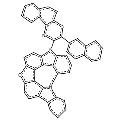 c1ccc2cc(-c3nc4ccc5ccccc5c4nc3-n3c4ccc5oc6ccc7c8ccccc8n8c9cccc3c9c4c5c6c78)ccc2c1